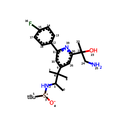 CC(N[S+]([O-])C(C)(C)C)C(C)(C)c1cc(-c2ccc(F)cc2)nc(C(C)(O)CN)c1